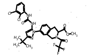 COC(=O)C1Cc2ccc(-n3nc(C(C)(C)C)cc3NC(=O)Nc3cccc(Cl)c3Cl)cc2CN1C(=O)C(F)(F)F